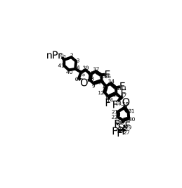 CCCC1CCC(C2COc3cc(-c4cc(F)c(C(F)(F)Oc5ccc(S(F)(F)(F)(F)F)cc5)c(F)c4)c(F)cc3C2)CC1